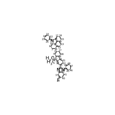 CC1(C)c2cc(-c3ccc4c5c3ccc3cccc(c35)n4-c3ccccc3)ccc2-c2ccc(-c3nc4cc(F)ccc4n3-c3ccccc3)cc21